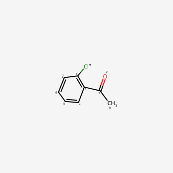 CC(=O)c1ccc[c]c1Cl